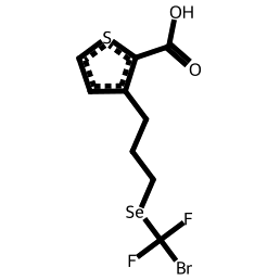 O=C(O)c1sccc1CCC[Se]C(F)(F)Br